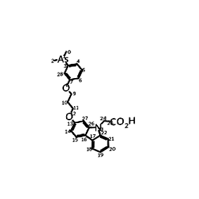 C[As](C)c1cccc(OCCCOc2ccc3c4ccccc4n(CC(=O)O)c3c2)c1